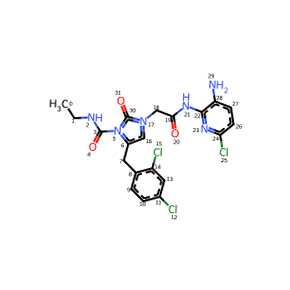 CCNC(=O)n1c(Cc2ccc(Cl)cc2Cl)cn(CC(=O)Nc2nc(Cl)ccc2N)c1=O